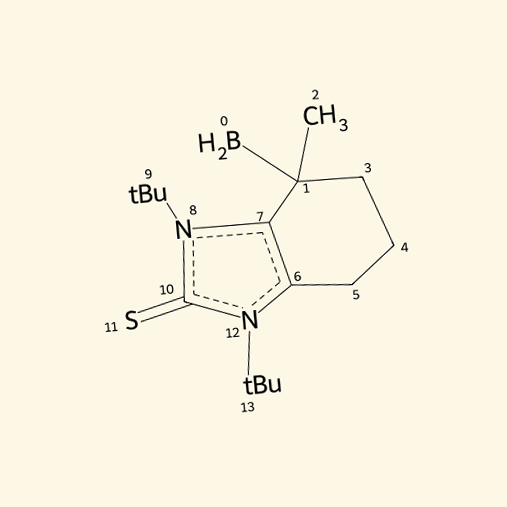 BC1(C)CCCc2c1n(C(C)(C)C)c(=S)n2C(C)(C)C